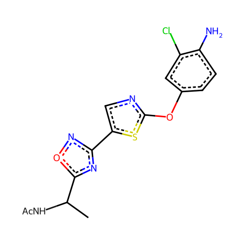 CC(=O)NC(C)c1nc(-c2cnc(Oc3ccc(N)c(Cl)c3)s2)no1